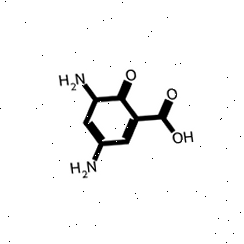 NC1=CC(N)C(=O)C(C(=O)O)=C1